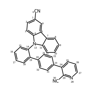 N#Cc1ccc2c(c1)c1ccccc1n2-c1ccccc1-c1ccc(-c2cccnc2C#N)cc1